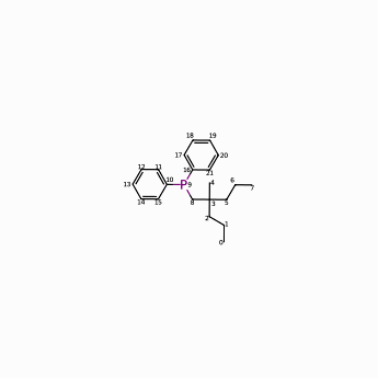 CCCC(C)(CCC)CP(c1ccccc1)c1ccccc1